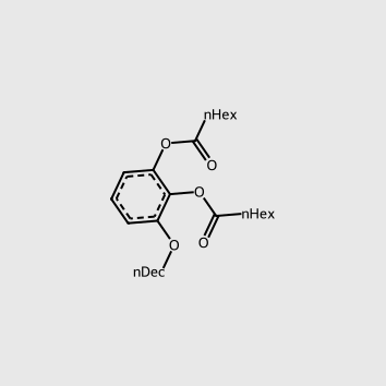 CCCCCCCCCCOc1cccc(OC(=O)CCCCCC)c1OC(=O)CCCCCC